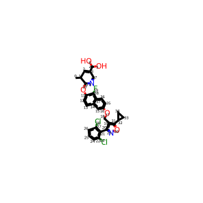 CC1C=C(C(O)O)C=NC1Oc1ccc2cc(OCc3c(-c4c(Cl)cccc4Cl)noc3C3CC3)ccc2c1F